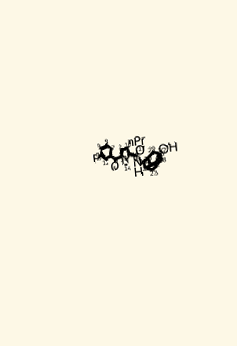 CCCc1cc(C(=O)c2cccc(F)c2)n(C)c1C(=O)NC1C2CC3CC1CC(O)(C3)C2